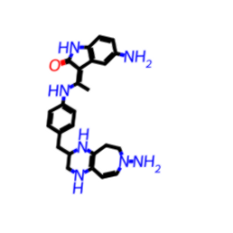 CC(Nc1ccc(CC2CNC3=C(CCN(N)C=C3)N2)cc1)=C1C(=O)Nc2ccc(N)cc21